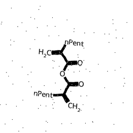 C=C(CCCCC)C(=O)OC(=O)C(=C)CCCCC